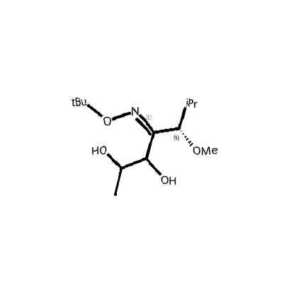 CO[C@H](/C(=N/OC(C)(C)C)C(O)C(C)O)C(C)C